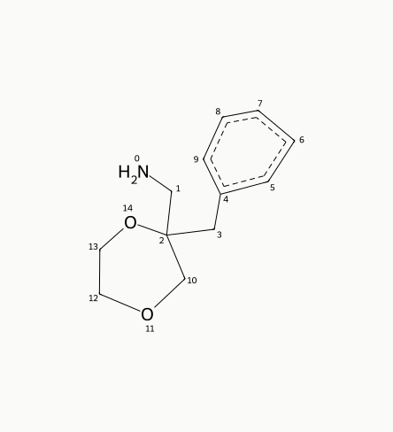 NCC1(Cc2ccccc2)COCCO1